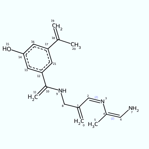 C=C(/C=N\C(C)=C/N)CNC(=C)c1cc(O)cc(C(=C)C)c1